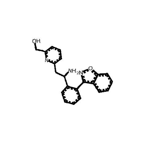 NC(Cc1cccc(CO)n1)c1ccccc1-c1noc2ccccc12